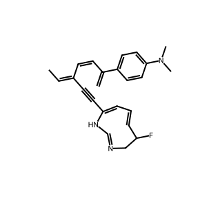 C=C(/C=C\C(C#C/C1=C/C=C/C(F)C/N=C/N1)=C/C)c1ccc(N(C)C)cc1